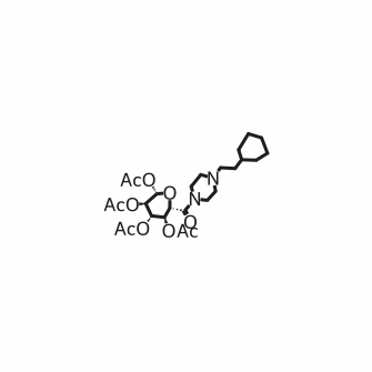 CC(=O)O[C@@H]1O[C@H](C(=O)N2CCN(CCC3CCCCC3)CC2)[C@@H](OC(C)=O)[C@H](OC(C)=O)[C@H]1OC(C)=O